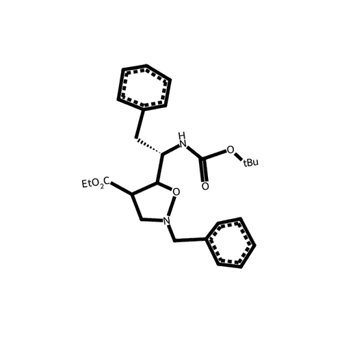 CCOC(=O)C1CN(Cc2ccccc2)OC1[C@H](Cc1ccccc1)NC(=O)OC(C)(C)C